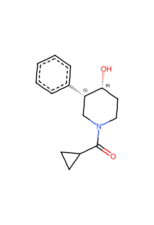 O=C(C1CC1)N1CC[C@@H](O)[C@@H](c2ccccc2)C1